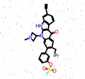 C#Cc1ccc2c(c1)[nH]c1c2c(=O)c2cc(CC(C)C)c(-c3cccc(OS(=O)(=O)F)c3)cc2n1C1CN(C)C1